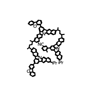 Cc1ccc(C#N)cc1-c1cc2c3cc4cc(C(C)C)ccc4cc3n3c4cc5ccc(C(C)CCC(C)c6ccc7cc8c(cc7c6)c6cc(-c7cccc9c7oc7ccccc79)cc7c9cc%10cc(C(C)CCC(C)c%11ccc%12cc%13c(cc%12c%11)c%11cc(-c%12ccc%14oc%15ccccc%15c%14c%12)cc%12c%14cc%15cc(C(C)C)ccc%15cc%14n%13c%12%11)ccc%10cc9n8c76)cc5cc4c(c1)c23